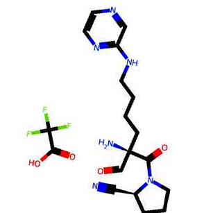 N#C[C@@H]1CCCN1C(=O)[C@](N)(C=O)CCCCNc1cnccn1.O=C(O)C(F)(F)F